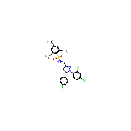 Cc1cc(C)c(S(=O)(=O)NCC2=NN(c3ccc(Cl)cc3Cl)[C@H](c3ccc(Cl)cc3)C2)c(C)c1